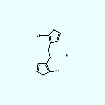 ClC1=C(CCC2=C(Cl)CC=C2)C=CC1.[Ti]